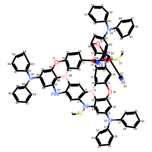 CSN1c2cc3c(cc2B2c4cc5c(cc4Oc4cc(N(c6ccccc6)c6ccccc6)cc1c42)N(SC)c1cc(N(c2ccccc2)c2ccccc2)cc2c1B5c1cc(C#N)ccc1O2)B1c2cc(C#N)ccc2Oc2cc(N(c4ccccc4)c4ccccc4)cc(c21)N3